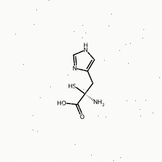 N[C@](S)(Cc1c[nH]cn1)C(=O)O